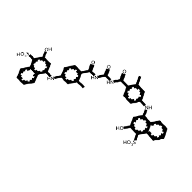 Cc1cc(Nc2cc(O)c(S(=O)(=O)O)c3ccccc23)ccc1C(=O)NC(=O)NC(=O)c1ccc(Nc2cc(O)c(S(=O)(=O)O)c3ccccc23)cc1C